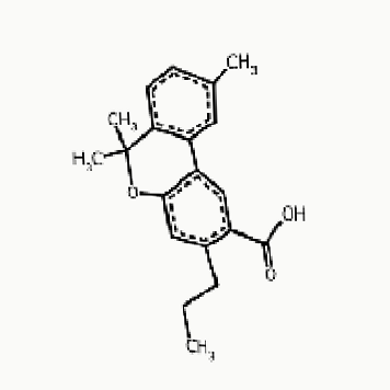 CCCc1cc2c(cc1C(=O)O)-c1cc(C)ccc1C(C)(C)O2